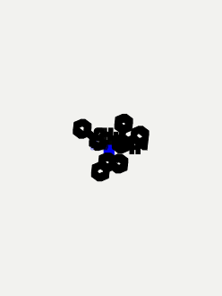 CC(/C=C\[C@H](C)N(c1ccc(C2CC=CC3=C[C@@H]32)c(-c2ccccc2)c1)c1cc2c(c3ccccc13)C=CCC2)C1=CCCC=C1